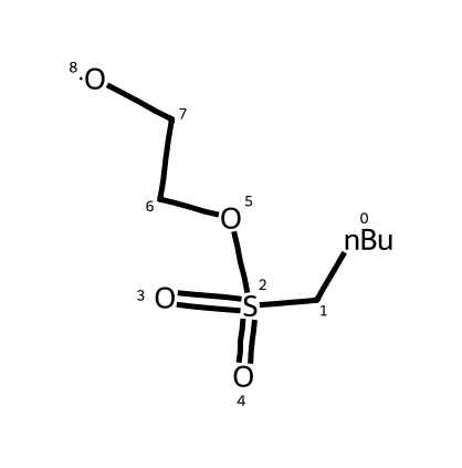 CCCCCS(=O)(=O)OCC[O]